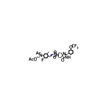 CC(=O)OCCN(C(C)=O)c1cc(C)c(/C=C/S(=O)(=O)N2CCC3(CC2)N=C(c2cccc(OC(F)(F)F)c2)NC3=O)cc1F